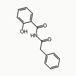 O=C(Cc1ccccc1)NC(=O)c1ccccc1O